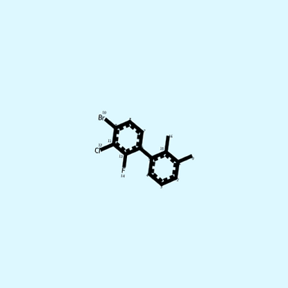 Cc1cccc(-c2c[c]c(Br)c(Cl)c2F)c1C